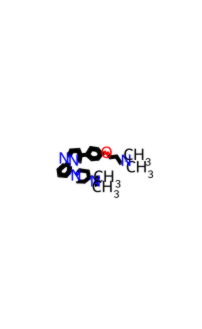 CN(C)CCCOc1ccc(-c2ccc3nc4cccc(N5CCC(N(C)C)CC5)c4n3c2)cc1